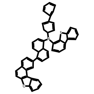 C1=CC2C(c3ccc4ccc5oc6ccccc6c5c4c3)=CC=CC2C(N(c2cccc3c2sc2ccccc23)C2C=CC(c3ccccc3)=CC2)=C1